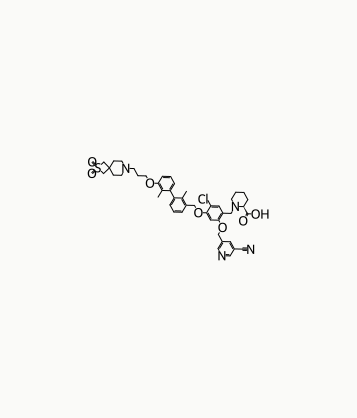 Cc1c(COc2cc(OCc3cncc(C#N)c3)c(CN3CCCC[C@H]3C(=O)O)cc2Cl)cccc1-c1cccc(OCCCN2CCC3(CC2)CS(=O)(=O)C3)c1C